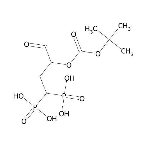 CC(C)(C)OC(=O)OC([C]=O)CC(P(=O)(O)O)P(=O)(O)O